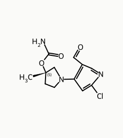 C[C@]1(OC(N)=O)CCN(c2cc(Cl)ncc2C=O)C1